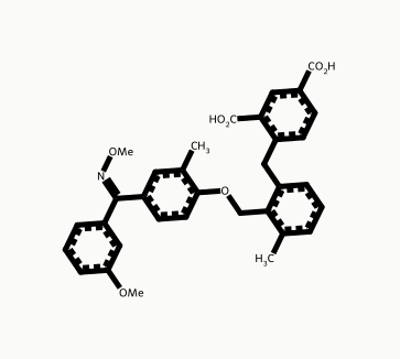 CON=C(c1cccc(OC)c1)c1ccc(OCc2c(C)cccc2Cc2ccc(C(=O)O)cc2C(=O)O)c(C)c1